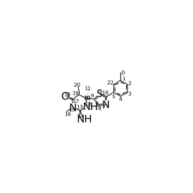 Cc1cccc(-c2ncc([C@@]3(C)NC(=N)N(C)C(=O)C3C)s2)c1